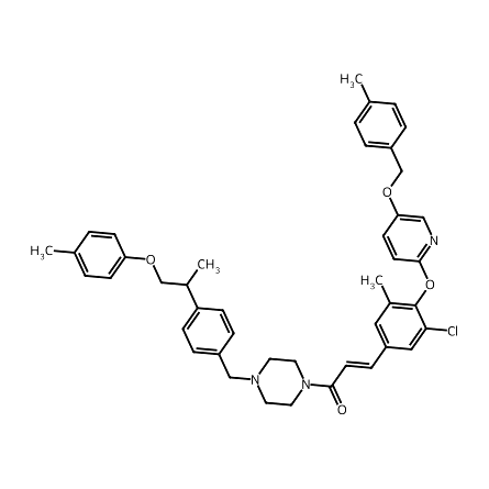 Cc1ccc(COc2ccc(Oc3c(C)cc(C=CC(=O)N4CCN(Cc5ccc(C(C)COc6ccc(C)cc6)cc5)CC4)cc3Cl)nc2)cc1